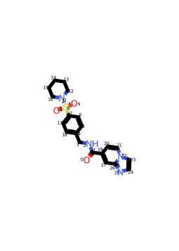 O=C(NCc1ccc(S(=O)(=O)N2CCCCC2)cc1)c1ccn2ccnc2c1